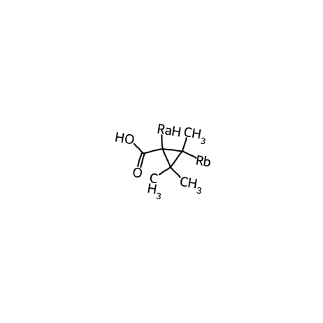 CC1(C)[C](C)([Rb])[C]1([RaH])C(=O)O